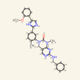 COc1ccccc1-c1cnc(-c2ccc(C)c(N3Cc4cnc(NCc5ccccc5)nc4N(C)C3=O)c2)[nH]1